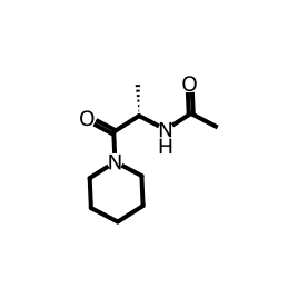 CC(=O)N[C@@H](C)C(=O)N1CCCCC1